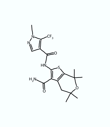 Cn1ncc(C(=O)Nc2sc3c(c2C(N)=O)CC(C)(C)OC3(C)C)c1C(F)(F)F